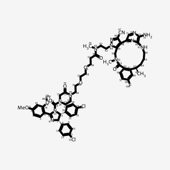 COc1ccc(C2=N[C@@H](c3ccc(Cl)cc3)[C@@H](c3ccc(Cl)cc3)N2C(=O)N2CCN(CCOCCOCCC(=O)N(C)CCn3nc(C#N)c4c3CN(C)C(=O)c3ccc(F)cc3[C@H](C)CCCNc3nc-4cnc3N)C(=O)C2)c(OC(C)C)c1